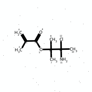 C=C(C)C(=O)OC(C)(C)C(C)(N)Cl